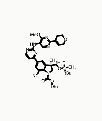 COc1nc(C2=CCOCC2)ncc1Nc1nccc(-c2cc(C#N)c3c(c2)[C@@](C)(CO[Si](C)(C)C(C)(C)C)CN3C(=O)OC(C)(C)C)n1